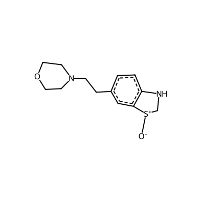 [O-][S+]1CNc2ccc(CCN3CCOCC3)cc21